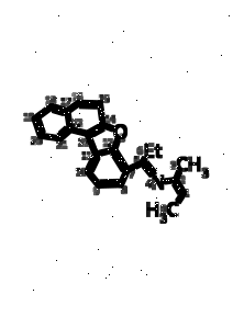 C/C=C(C)\N=C(/CC)c1cccc2c1oc1ccc3ccccc3c12